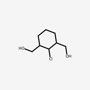 OCC1CCCC(CO)C1Cl